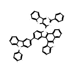 c1ccc(-c2nc(-n3c4ccc(-c5ccc6c(c5)c5ccccc5n6-c5ccccc5)cc4c4c5c6ccccc6sc5c5ccccc5c43)c3sc4ccccc4c3n2)cc1